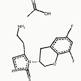 CC(=O)O.NCCc1c[nH]c(=S)n1[C@H]1COc2c(F)cc(F)cc2C1